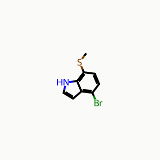 CSc1ccc(Br)c2cc[nH]c12